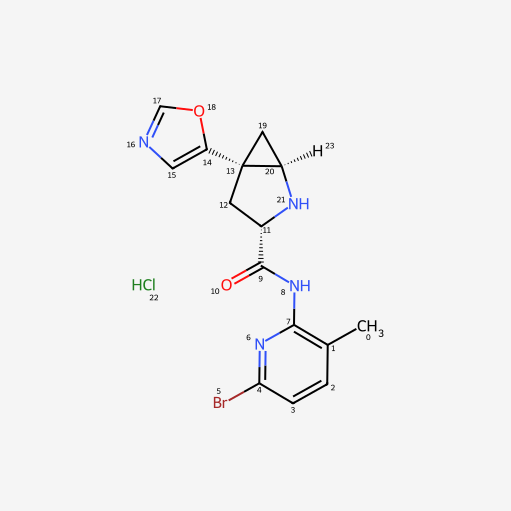 Cc1ccc(Br)nc1NC(=O)[C@@H]1C[C@@]2(c3cnco3)C[C@H]2N1.Cl